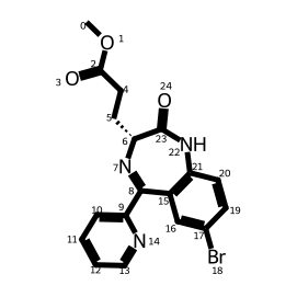 COC(=O)CC[C@H]1N=C(c2ccccn2)c2cc(Br)ccc2NC1=O